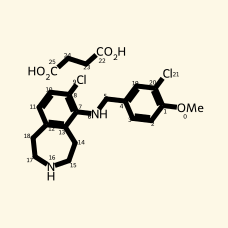 COc1ccc(CNc2c(Cl)ccc3c2CCNCC3)cc1Cl.O=C(O)CCC(=O)O